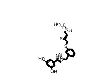 O=C(O)NCC=C(F)CSc1cccc(Cn2cc(-c3cc(O)cc(O)c3)nn2)c1